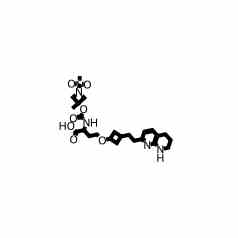 CC1(OC(=O)NC(CCOC2CC(CCc3ccc4c(n3)NCCC4)C2)C(=O)O)CN(S(C)(=O)=O)C1